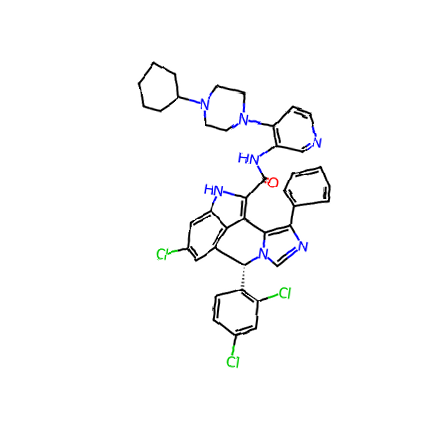 O=C(Nc1cnccc1N1CCN(C2CCCCC2)CC1)c1[nH]c2cc(Cl)cc3c2c1-c1c(-c2ccccc2)ncn1[C@@H]3c1ccc(Cl)cc1Cl